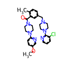 COc1ccc(N2CCN(C(=O)c3cc(CN4CCN(c5ncccc5Cl)CC4)ccc3C)CC2)nc1